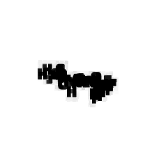 CCN(CC)C(=O)CN[C@H]1CC[C@@H](CNC(=O)c2cc(C(F)(F)F)cc(C(F)(F)F)c2)CC1